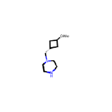 CO[C@H]1C[C@H](CN2CCNCC2)C1